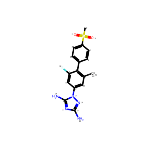 CS(=O)(=O)c1ccc(-c2c(F)cc(-n3nc(N)nc3N)cc2C(F)(F)F)cc1